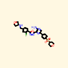 Nc1ncc(-c2ccc(S(=O)(=O)C3CCOCC3)cc2)nc1-c1nnc(-c2ccc(CN[C@H]3CCOC3)cc2F)o1